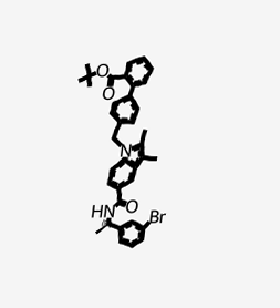 Cc1c(C)n(Cc2ccc(-c3ccccc3C(=O)OC(C)(C)C)cc2)c2ccc(C(=O)N[C@H](C)c3cccc(Br)c3)cc12